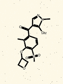 Cc1c(C(=O)c2cnn(C)c2O)ccc(S(C)(=O)=O)c1OC1COC1